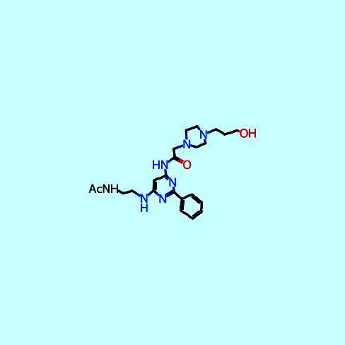 CC(=O)NCCNc1cc(NC(=O)CN2CCN(CCCO)CC2)nc(-c2ccccc2)n1